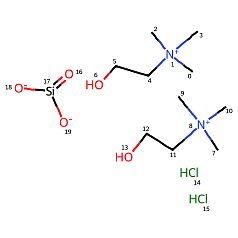 C[N+](C)(C)CCO.C[N+](C)(C)CCO.Cl.Cl.O=[Si]([O-])[O-]